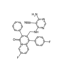 N#Cc1c(N)ncnc1NCc1c(-c2ccccc2)c(=O)n2cc(F)ccc2c1-c1ccc(F)cc1